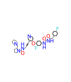 O=C(Cc1ccc(F)cc1)NC(=O)Nc1ccc(Oc2ccncc2C#CCNC(=O)N2CCCC2CN2CCCC2)c(F)c1